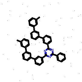 Cc1cccc(-c2cccc(-c3cccc(-c4nc(-c5ccccc5)nc(-c5cccc(-c6cccc(-c7cccc(C)c7)c6)c5)n4)c3)c2)c1